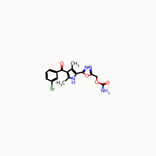 Cc1[nH]c(-c2nnc(COC(N)=O)o2)c(C)c1C(=O)c1cccc(Br)c1